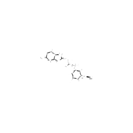 Cc1ccc2nc(NC(=O)Nc3cc(F)cc(C#N)c3)sc2n1